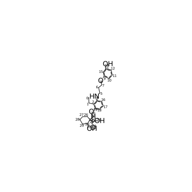 CCc1c(NCCCOc2cccc(O)c2)cccc1OCC1([PH](=O)O)CCCCC1O